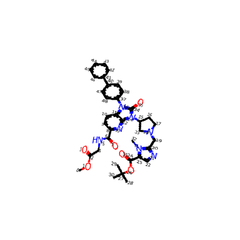 COC(=O)CNC(=O)c1ccc2c(n1)n(C1CCN(Cc3ncc(C(=O)OC(C)(C)C)n3C)C1)c(=O)n2-c1ccc(-c2ccccc2)cc1